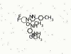 Cc1ccc(-c2nnc(N3CCCC(F)(F)CC3)c(C(=O)Nc3cccc([S@](C)(=N)=O)c3)c2C)cc1